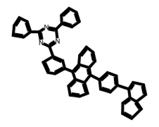 c1ccc(-c2nc(-c3ccccc3)nc(-c3cccc(-c4c5ccccc5c(-c5ccc(-c6cccc7ccccc67)cc5)c5ccccc45)c3)n2)cc1